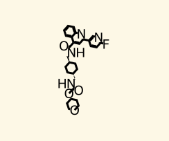 O=C(NC[C@H]1CC[C@H](CNC(=O)c2cc(-c3ccc(F)nc3)nc3ccccc23)CC1)OC1CCOCC1